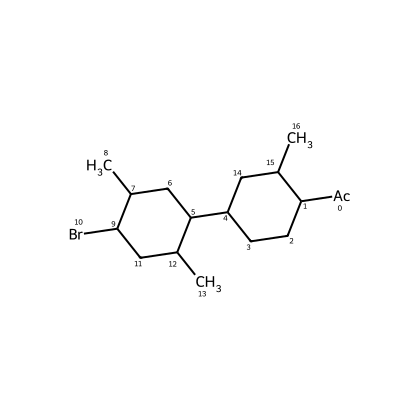 CC(=O)C1CCC(C2CC(C)C(Br)CC2C)CC1C